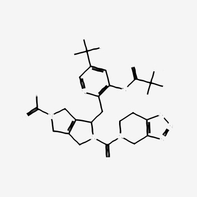 CC(C)(C)C(=O)Nc1cc(C(F)(F)F)cnc1[CH]C1C2=C(CN(C(=O)O)C2)CN1C(=O)N1CCc2[nH]nnc2C1